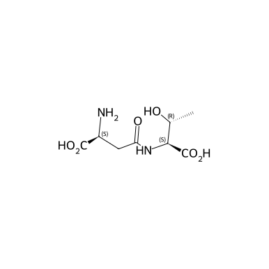 C[C@@H](O)[C@H](NC(=O)C[C@H](N)C(=O)O)C(=O)O